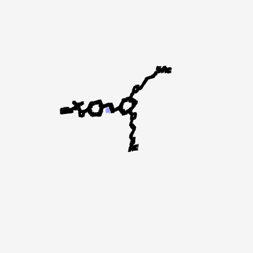 CC(=O)SCCCOc1cc(/C=C/c2ccc(O[Si](C)(C)C(C)(C)C)cc2)cc(OCCCSC(C)=O)c1